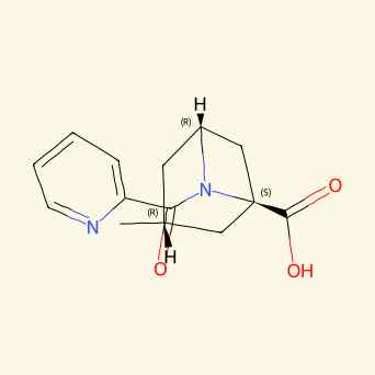 C[C@@H]1C[C@@H]2C[C@](C(=O)O)(C1)N2C(=O)c1ccccn1